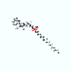 CCCCCCCCCCCCCCCCCC(=O)OCC=C(C)C=CC=C(C)C=CC1=C(C)CCCC1(C)C